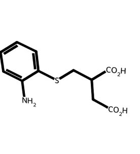 Nc1ccccc1SCC(CC(=O)O)C(=O)O